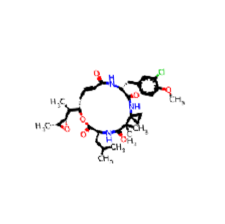 COc1ccc(C[C@H]2NC(=O)/C=C/C[C@@H]([C@H](C)[C@H]3O[C@@H]3C)OC(=O)[C@H](CC(C)C)NC(=O)C(C)(C)C3(CC3)NC2=O)cc1Cl